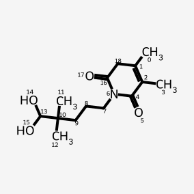 CC1=C(C)C(=O)N(CCCC(C)(C)C(O)O)C(=O)C1